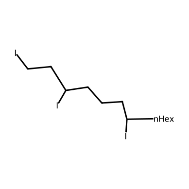 CCCCCCC(I)CCCC(I)CCI